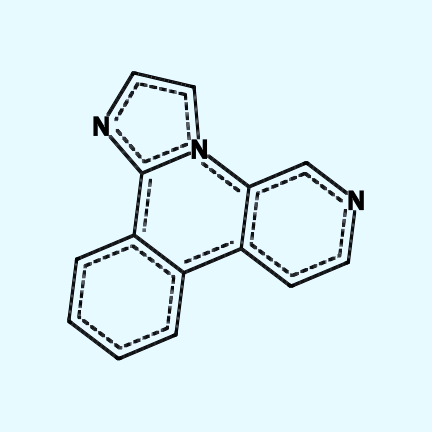 c1ccc2c(c1)c1ccncc1n1ccnc21